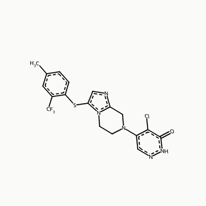 Cc1ccc(Sc2cnc3n2CCN(c2cn[nH]c(=O)c2Cl)C3)c(C(F)(F)F)c1